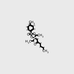 CCCCC(=O)CS(CC)(CC)OS(=O)(=O)c1ccc(C)cc1